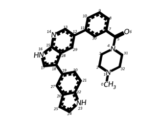 CN1CCN(C(=O)c2cccc(-c3cnc4[nH]cc(-c5ccc6[nH]ccc6c5)c4c3)c2)CC1